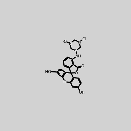 [O]N1CN(Cl)CN(Nc2cccc3c2C(=O)OC32c3ccc(O)cc3Oc3cc(O)ccc32)C1